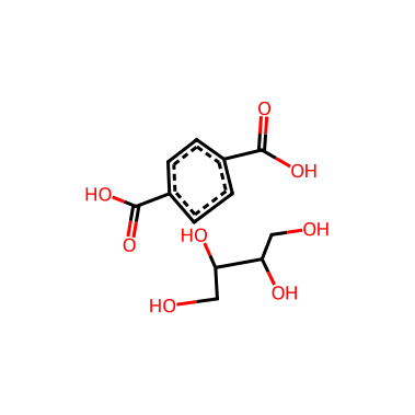 O=C(O)c1ccc(C(=O)O)cc1.OCC(O)C(O)CO